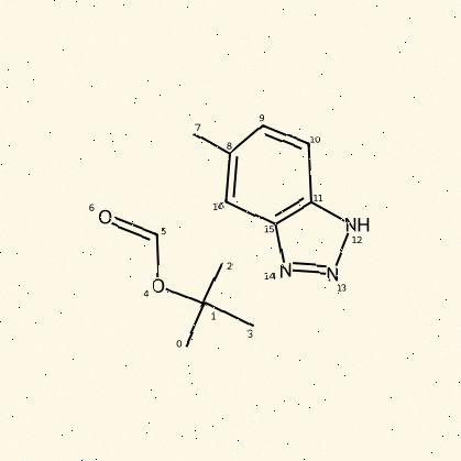 CC(C)(C)OC=O.Cc1ccc2[nH]nnc2c1